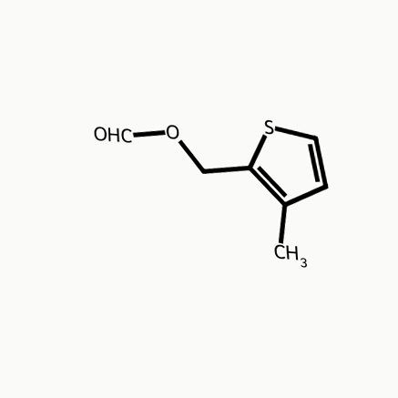 Cc1ccsc1COC=O